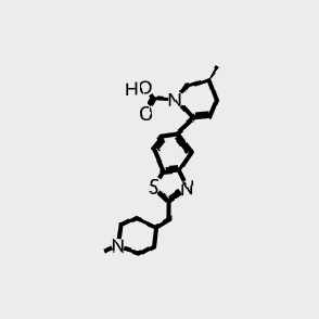 C[C@H]1CC=C(c2ccc3sc(CC4CCN(C)CC4)nc3c2)N(C(=O)O)C1